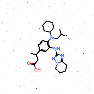 CC(C)CN(c1ccc(C(C)CC(=O)O)cc1Nc1nc2n(n1)CCCC2)C1CCCCC1